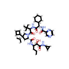 CCCC(NC(=O)[C@@H]1C[C@@](C(C)C)(C2CCC2)CN1C(=O)C(NC(=O)[C@@H](NC(=O)c1cnccn1)C1CCCCC1)C(C)(C)C)C(O)C(=O)NC1CC1